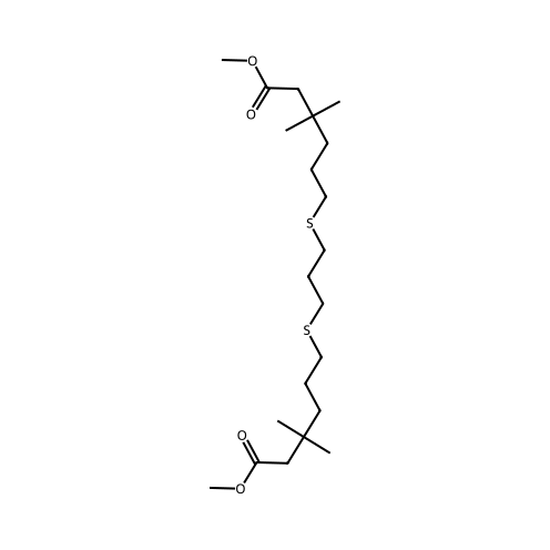 COC(=O)CC(C)(C)CCCSCCCSCCCC(C)(C)CC(=O)OC